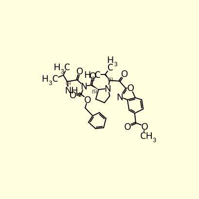 COC(=O)c1ccc2oc(C(=O)[C@H](C(C)C)N3CCC[C@H]3C(=O)N(C(=O)OCc3ccccc3)C(=O)[C@@H](N)C(C)C)nc2c1